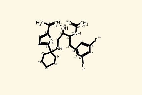 C=C(C)c1ccc(C2(NCC(O)C(Cc3cc(F)cc(F)c3)NC(C)=O)CCCCC2)s1